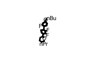 CCCCOc1ccc(-c2ccc(C3CCC(CCC)CO3)c(F)c2F)c(F)c1